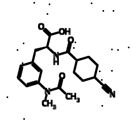 CC(=O)N(C)c1cccc(C[C@H](NC(=O)C2CCC(C#N)CC2)C(=O)O)c1